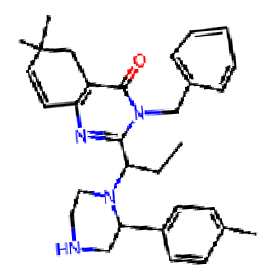 CCC(c1nc2c(c(=O)n1Cc1ccccc1)CC(C)(C)C=C2)N1CCNCC1c1ccc(C)cc1